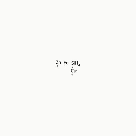 [Cu].[Fe].[SiH4].[Zn]